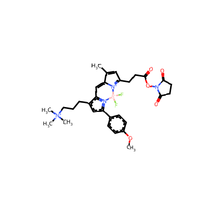 COc1ccc(-c2cc(CCC[N+](C)(C)C)c3n2[B-](F)(F)[N+]2=C(CCC(=O)ON4C(=O)CCC4=O)C=C(C)C2=C3)cc1